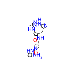 Cc1cnc2nc1Nc1ccc(NC(=O)CC3CCN(C(=O)Nc4ccccc4N)CC3)c(c1)CCc1cncc(c1)N2